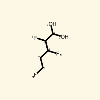 OC(O)C(F)C(F)CCF